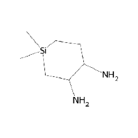 C[Si]1(C)CCC(N)C(N)C1